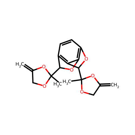 C=C1COC(C)(C2Oc3c4ccc2c3C(C2(C)OCC(=C)O2)O4)O1